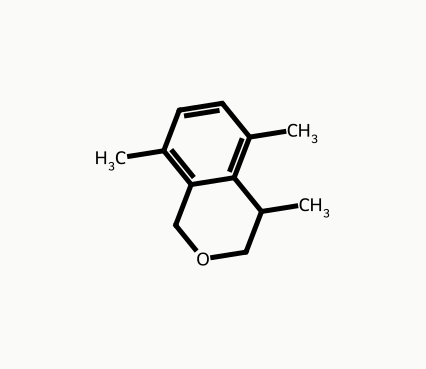 Cc1ccc(C)c2c1COCC2C